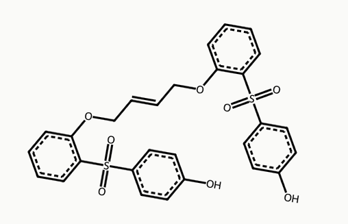 O=S(=O)(c1ccc(O)cc1)c1ccccc1OCC=CCOc1ccccc1S(=O)(=O)c1ccc(O)cc1